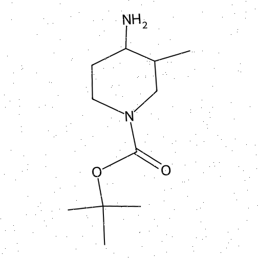 CC1CN(C(=O)OC(C)(C)C)CCC1N